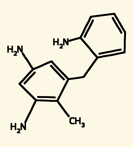 Cc1c(N)cc(N)cc1Cc1ccccc1N